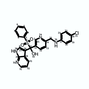 O=S(=O)(c1ccccc1)C(O)(c1ccc(CNc2ccc(Cl)cc2)nc1)c1c[nH]c2ncccc12